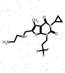 Cc1c(CNCCN)sc2c1c(=O)n(C1CC1)c(=O)n2CCC(F)(F)F